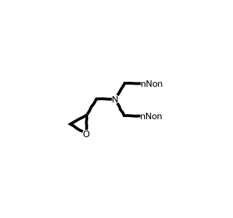 CCCCCCCCCCN(CCCCCCCCCC)CC1CO1